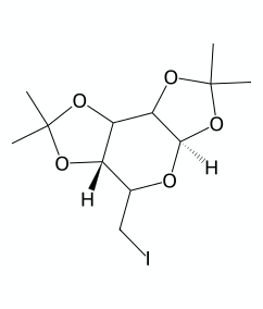 CC1(C)OC2C3OC(C)(C)O[C@H]3C(CI)O[C@@H]2O1